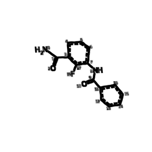 NC(=O)c1cccc(NC(=O)c2ccccc2)c1F